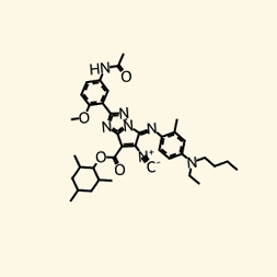 [C-]#[N+]C1=C(C(=O)OC2C(C)CC(C)CC2C)c2nc(-c3cc(NC(C)=O)ccc3OC)nn2/C1=N/c1ccc(N(CC)CCCC)cc1C